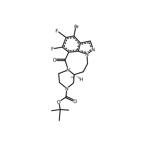 CC(C)(C)OC(=O)N1CCN2C(=O)c3c(F)c(F)c(Br)c4cnn(c34)CC[C@H]2C1